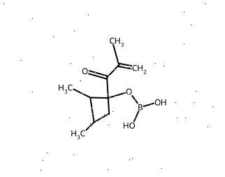 C=C(C)C(=O)C1(OB(O)O)CC(C)C1C